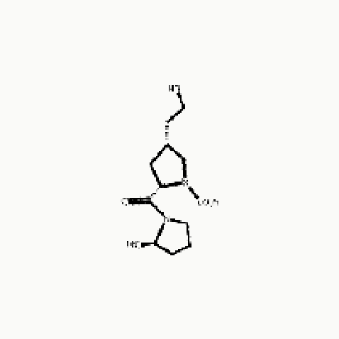 N#C[C@@H]1CCCN1C(=O)[C@@H]1C[C@H](CCO)CN1C(=O)O